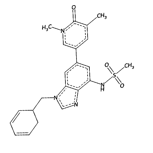 Cc1cc(-c2cc(NS(C)(=O)=O)c3ncn(CC4C=CC=CC4)c3c2)cn(C)c1=O